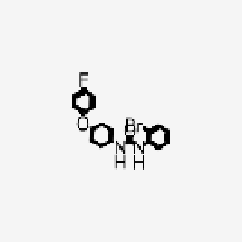 O=C(Nc1ccccc1Br)N[C@H]1CC[C@@H](Oc2ccc(F)cc2)CC1